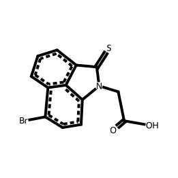 O=C(O)CN1C(=S)c2cccc3c(Br)ccc1c23